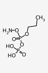 CCCOP(=O)(ON)OP(=O)(O)O